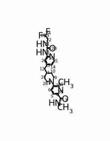 CNC(=O)c1ccc(N2CCC(Cc3ccnc(NC(=O)NCC(F)F)c3)CC2)c(C)n1